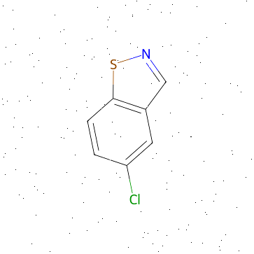 Clc1ccc2sncc2c1